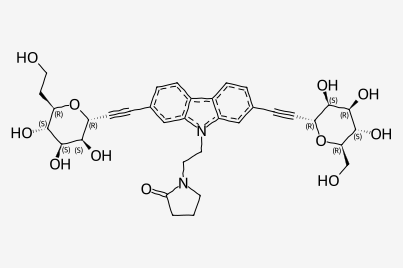 O=C1CCCN1CCn1c2cc(C#C[C@H]3O[C@H](CO)[C@@H](O)[C@H](O)[C@@H]3O)ccc2c2ccc(C#C[C@H]3O[C@H](CCO)[C@@H](O)[C@H](O)[C@@H]3O)cc21